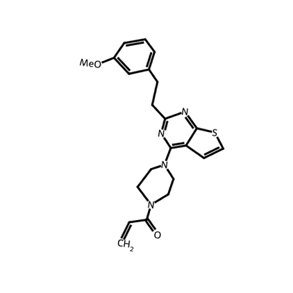 C=CC(=O)N1CCN(c2nc(CCc3cccc(OC)c3)nc3sccc23)CC1